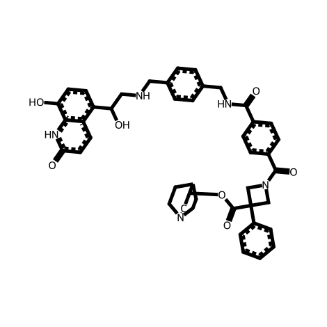 O=C(NCc1ccc(CNCC(O)c2ccc(O)c3[nH]c(=O)ccc23)cc1)c1ccc(C(=O)N2CC(C(=O)OC3CN4CCC3CC4)(c3ccccc3)C2)cc1